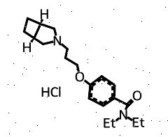 CCN(CC)C(=O)c1ccc(OCCCN2C[C@H]3CC[C@H]3C2)cc1.Cl